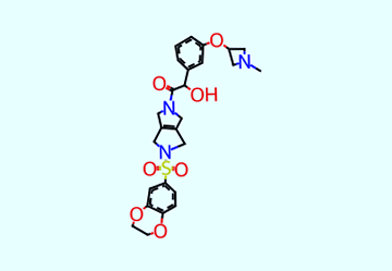 CN1CC(Oc2cccc(C(O)C(=O)N3CC4=C(C3)CN(S(=O)(=O)c3ccc5c(c3)OCCO5)C4)c2)C1